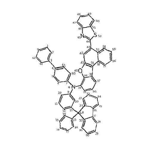 c1ccc(-c2ccc(N(c3cccc(C4(c5ccccc5)c5ccccc5-c5ccccc54)c3)c3cccc4c3oc3cc(-c5nc6ccccc6s5)c5ccccc5c34)cc2)cc1